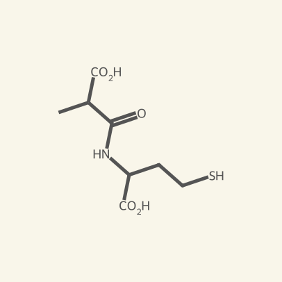 CC(C(=O)O)C(=O)NC(CCS)C(=O)O